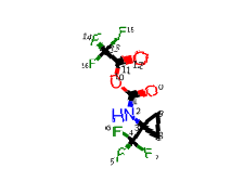 O=C(NC1(C(F)(F)F)CC1)OC(=O)C(F)(F)F